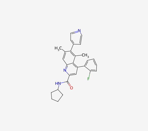 Cc1cc2nc(C(=O)NC3CCCC3)cc(-c3ccccc3F)c2c(C)c1-c1ccncc1